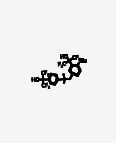 CC(C)(C)c1ccc(CC(C)(C)c2ccc(C(O)(C(F)(F)F)C(F)(F)F)cc2)cc1C(O)(C(F)(F)F)C(F)(F)F